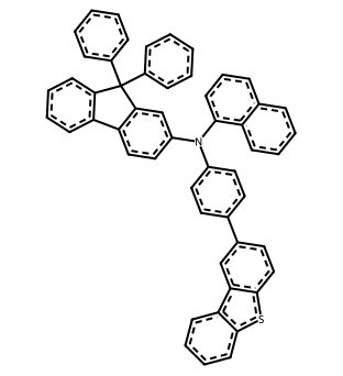 c1ccc(C2(c3ccccc3)c3ccccc3-c3ccc(N(c4ccc(-c5ccc6sc7ccccc7c6c5)cc4)c4cccc5ccccc45)cc32)cc1